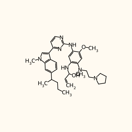 C=CC(O)Nc1cc(Nc2nccc(-c3cn(C)c4cc(C(C)CCC)ccc34)n2)c(OC)cc1N(C)CCN1CCCC1